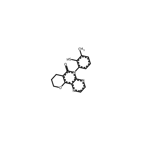 Cc1cccc(-n2c(=O)c3c(c4nccnc42)OCCC3)c1S